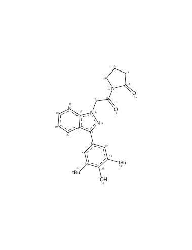 CC(C)(C)c1cc(-c2nn(CC(=O)N3CCCC3=O)c3ncccc23)cc(C(C)(C)C)c1O